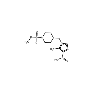 COS(=O)(=O)N1CCC(Cn2ncc([N+](=O)O)c2C)CC1